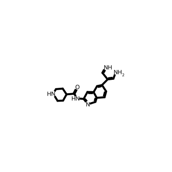 N=C/C(=C\N)c1ccc2cnc(NC(=O)C3CCNCC3)cc2c1